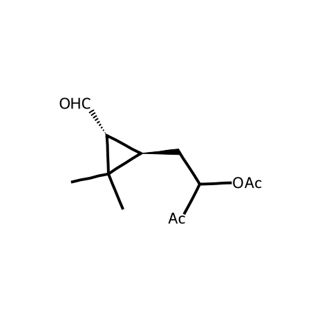 CC(=O)OC(C[C@@H]1[C@@H](C=O)C1(C)C)C(C)=O